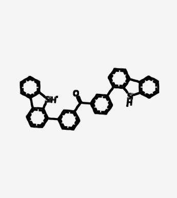 C[SiH]1c2ccccc2-c2cccc(-c3cccc(C(=O)c4cccc(-c5cccc6c5[SiH](C)c5ccccc5-6)c4)c3)c21